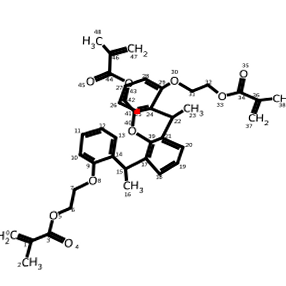 C=C(C)C(=O)OCCOc1ccccc1C(C)c1cccc(C(C)c2ccccc2OCCOC(=O)C(=C)C)c1OCCOC(=O)C(=C)C